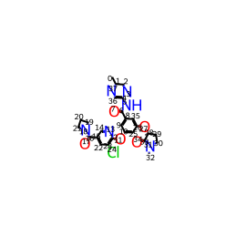 Cc1cnc(NC(=O)c2cc(Oc3ncc(C(=O)N4CCC4)cc3Cl)cc(O[C@H]3CCN(C)C3=O)c2)cn1